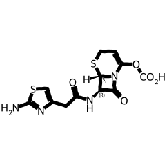 Nc1nc(CC(=O)N[C@@H]2C(=O)N3C(OC(=O)O)=CCS[C@@H]23)cs1